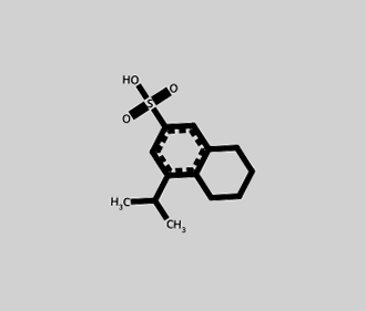 CC(C)c1cc(S(=O)(=O)O)cc2c1CCCC2